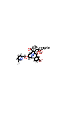 COC(=O)C(C)(C)Cc1c(C(=O)C(C)(C)C)c2cc(OCc3cccc(C)n3)ccn2c1C(=O)c1cccc(Br)c1